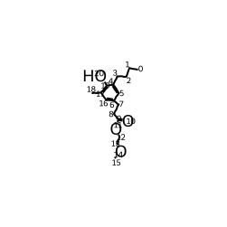 CCCCc1cc(CCC(=O)OCCOC)cc(C)c1O